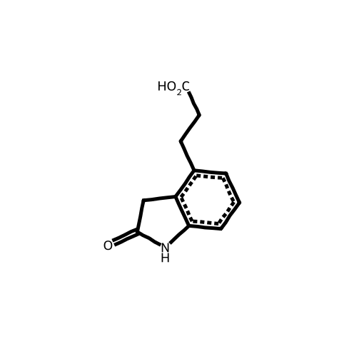 O=C(O)CCc1cccc2c1CC(=O)N2